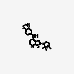 CN1CC[C@@H](c2cc3c(Nc4ccc5scnc5c4)ccnc3s2)C1(C)C